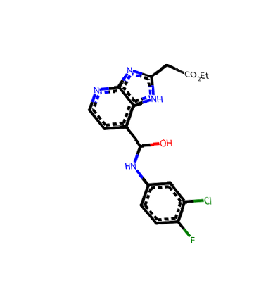 CCOC(=O)Cc1nc2nccc(C(O)Nc3ccc(F)c(Cl)c3)c2[nH]1